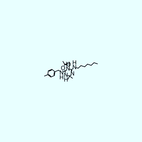 CCCCCCCNC1=NC(C)(C)NC(NCc2ccc(C)cc2)(OC(C)=O)N1